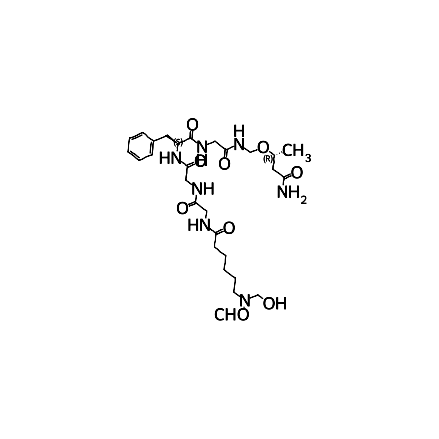 C[C@H](CC(N)=O)OCNC(=O)CNC(=O)[C@H](Cc1ccccc1)NC(=O)CNC(=O)CNC(=O)CCCCCN(C=O)CO